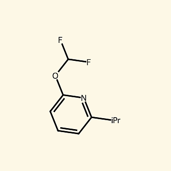 CC(C)c1cccc(OC(F)F)n1